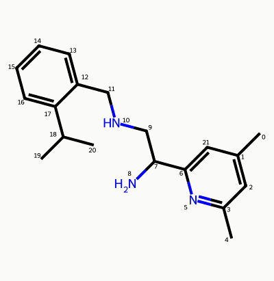 Cc1cc(C)nc(C(N)CNCc2ccccc2C(C)C)c1